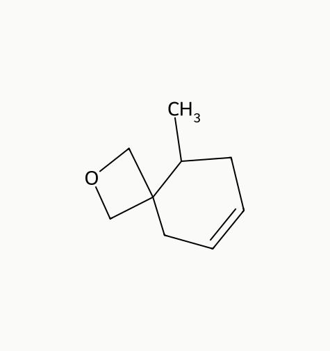 CC1CC=CCC12COC2